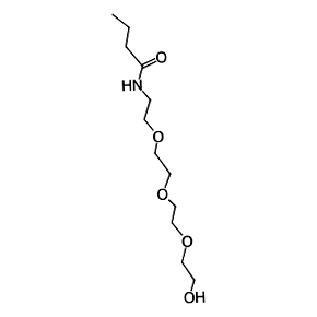 CCCC(=O)NCCOCCOCCOCCO